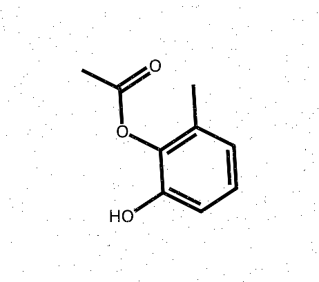 CC(=O)Oc1c(C)cccc1O